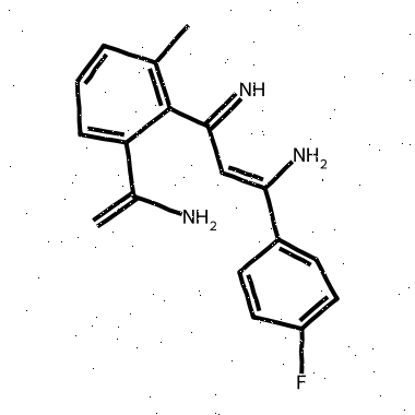 C=C(N)c1cccc(C)c1C(=N)/C=C(\N)c1ccc(F)cc1